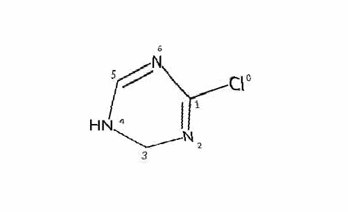 ClC1=NCNC=N1